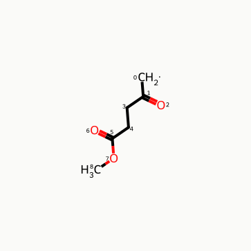 [CH2]C(=O)CCC(=O)OC